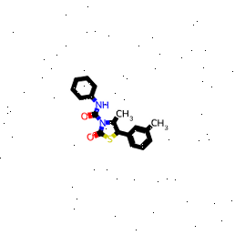 Cc1cccc(C2SC(=O)N(C(=O)NC3CCCCC3)C2C)c1